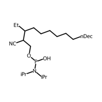 CCCCCCCCCCCCCCCCC(CC)C(C#N)COP(O)N(C(C)C)C(C)C